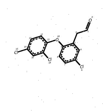 O=CCc1cc(Cl)ccc1Oc1ccc(Cl)cc1Cl